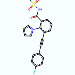 CS(=O)(=O)NC(=O)c1cccc(C#Cc2ccc(F)cc2)c1-n1cccc1